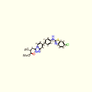 COC(=O)[C@H](Cc1nnc2cc(-c3ccc(Nc4nc5ccc(Cl)cc5s4)cc3)ccn12)C(C)C